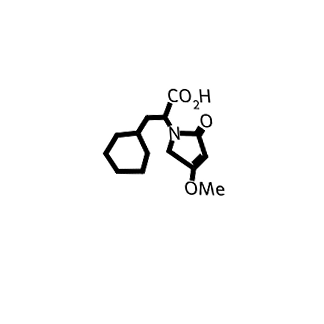 COC1=CC(=O)N(C(CC2CCCCC2)C(=O)O)C1